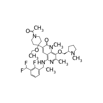 CCOC1(c2cc3c(N[C@H](C)c4cccc(C(F)F)c4F)nc(C)c(OC[C@H]4CCCN4C)c3n(C)c2=O)CCN(C(C)=O)CC1